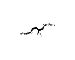 CCCCCO/C=C\C(C)=C/OCCCCC